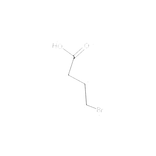 O=C(O)CC[CH]Br